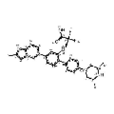 Cc1cn2cc(-c3cnc(-c4ccc(N5C[C@@H](C)N[C@@H](C)C5)nn4)c(O)c3)cnc2n1.O=C(O)C(F)(F)F